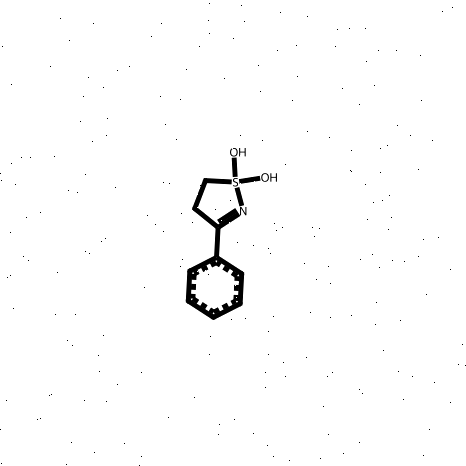 OS1(O)CCC(c2ccccc2)=N1